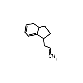 C=CCC1CCC2CC=CC=C12